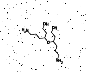 NCCCC(CCO)OC(CCO)CCCN